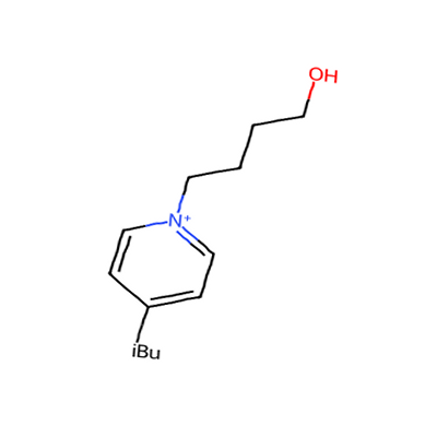 CCC(C)c1cc[n+](CCCCO)cc1